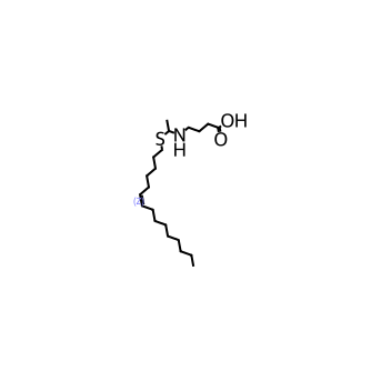 CCCCCCCC/C=C\CCCCCSC(C)NCCCC(=O)O